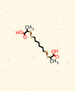 CC(SSCCCCCCSSC(C)C(=O)O)C(=O)O